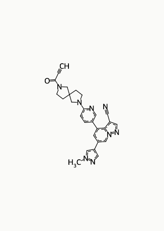 C#CC(=O)N1CCC2(CCN(c3ccc(-c4cc(-c5cnn(C)c5)cn5ncc(C#N)c45)cn3)C2)C1